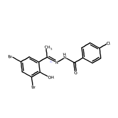 C/C(=N\NC(=O)c1ccc(Cl)cc1)c1cc(Br)cc(Br)c1O